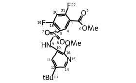 COC(=O)c1cc(S(=O)(=O)Nc2cc(C(C)(C)C)cnc2OC)c(F)cc1F